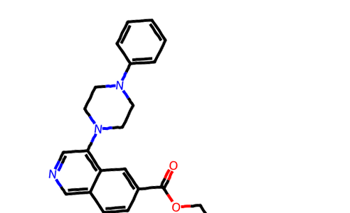 O=C(OCC[SiH3])c1ccc2cncc(N3CCN(c4ccccc4)CC3)c2c1